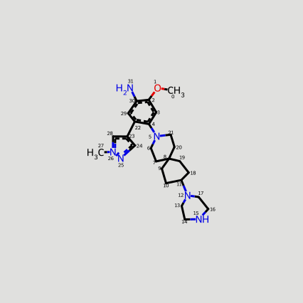 COc1cc(N2CCC3(CCC(N4CCNCC4)CC3)CC2)c(-c2cnn(C)c2)cc1N